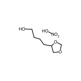 O=[N+]([O-])O.OCCCCC1COCO1